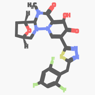 CN1C(=O)c2c(O)c(=O)c(-c3nnc(Cc4c(F)cc(F)cc4F)s3)cn2N2C[C@H]3CC[C@H](O3)C12